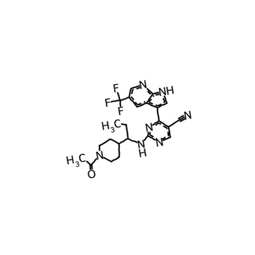 CCC(Nc1ncc(C#N)c(-c2c[nH]c3ncc(C(F)(F)F)cc23)n1)C1CCN(C(C)=O)CC1